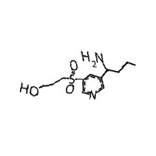 CCCC(N)c1cncc(S(=O)(=O)CCCO)c1